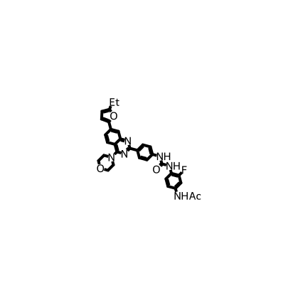 CCc1ccc(-c2ccc3c(N4CCOCC4)nc(-c4ccc(NC(=O)Nc5ccc(NC(C)=O)cc5F)cc4)nc3c2)o1